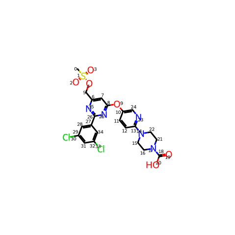 CS(=O)(=O)OCc1cc(Oc2ccc(N3CCN(C(=O)O)CC3)nc2)nc(-c2cc(Cl)cc(Cl)c2)n1